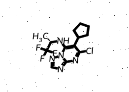 C[C@H](Nc1c(C2CCCC2)c(Cl)nc2ncnn12)C(F)(F)F